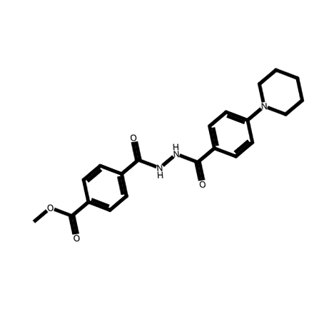 COC(=O)c1ccc(C(=O)NNC(=O)c2ccc(N3CCCCC3)cc2)cc1